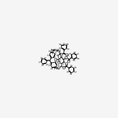 [N-]=[N+]=NCC[C@]1(Oc2ccccc2C(c2ccccc2)c2ccccc2)O[C@H](CO)[C@@H](OC(=O)c2ccccc2)[C@H](OC(=O)c2ccccc2)[C@@H]1OC(=O)c1ccccc1